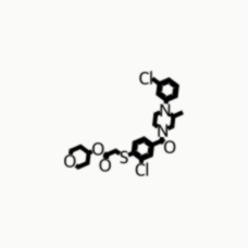 CC1CN(C(=O)c2ccc(SCC(=O)OC3CCOCC3)c(Cl)c2)CCN1c1cccc(Cl)c1